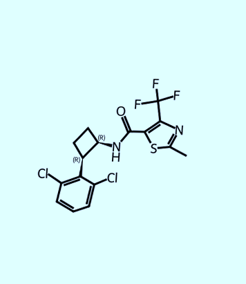 Cc1nc(C(F)(F)F)c(C(=O)N[C@@H]2CC[C@@H]2c2c(Cl)cccc2Cl)s1